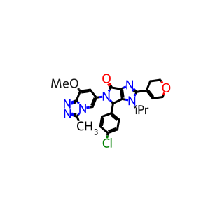 COc1cc(N2C(=O)c3nc(C4=CCOCC4)n(C(C)C)c3C2c2ccc(Cl)cc2)cn2c(C)nnc12